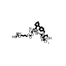 CCCc1nc(C(F)(F)C(F)(F)F)c(CO)n1Cc1ccc(-c2ccccc2-c2nnn(C(C)OC(=O)OCCCCON(O)O)n2)cc1